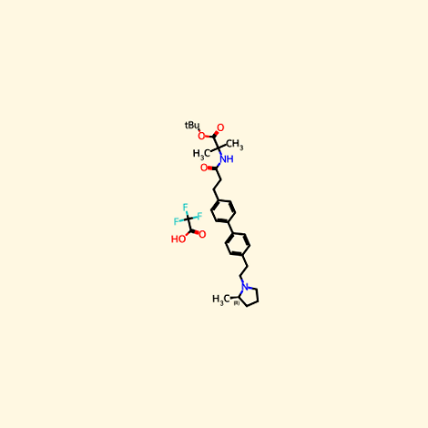 C[C@@H]1CCCN1CCc1ccc(-c2ccc(CCC(=O)NC(C)(C)C(=O)OC(C)(C)C)cc2)cc1.O=C(O)C(F)(F)F